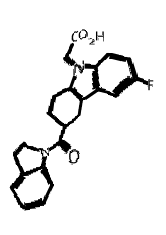 O=C(O)Cn1c2c(c3cc(F)ccc31)CC(C(=O)N1CCc3ccccc31)CC2